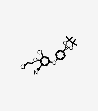 CC1(C)OB(c2ccc(Oc3cc(Cl)c(OCCCl)c(C#N)c3)cc2)OC1(C)C